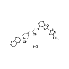 Cc1nnc(-c2cc3c(OC[C@@H](O)CN4CCC(O)(c5ccc6ccccc6c5)CC4)cccc3o2)o1.Cl